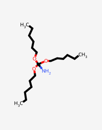 CCCCCCOC(N)(OCCCCCC)OCCCCCC